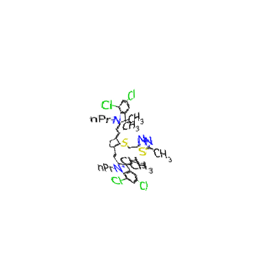 CCCN1/C(=C/C=C2\CCC(/C=C/C3=[N+](CCC)c4c(Cl)cc(Cl)cc4C3(C)C)=C2SCc2nnc(C)s2)C(C)(C)c2cc(Cl)cc(Cl)c21